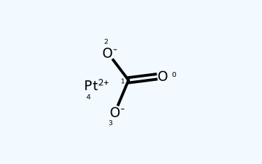 O=C([O-])[O-].[Pt+2]